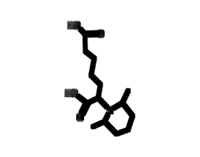 CC1CCCC(C)N1C(CCCCC(=O)O)C(=O)O